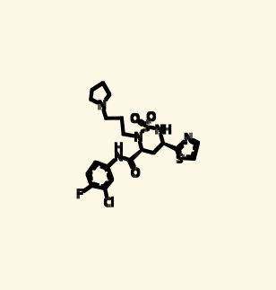 O=C(Nc1ccc(F)c(Cl)c1)[C@@H]1C[C@H](c2nccs2)NS(=O)(=O)N1CCCN1CCCC1